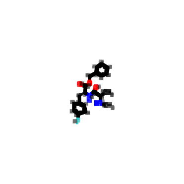 CN[C@H](C)C(=O)N[C@H](Cc1ccc(F)cc1)C(=O)OCc1ccccc1